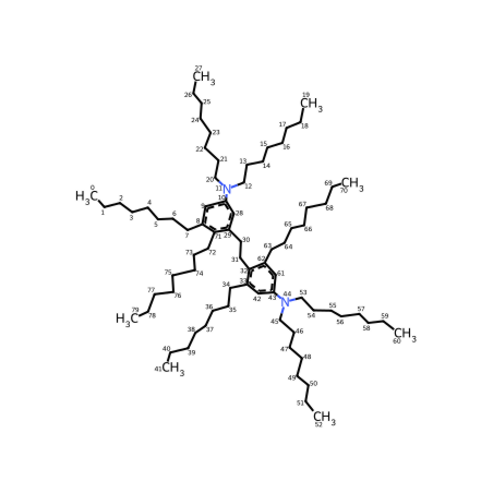 CCCCCCCCc1cc(N(CCCCCCCC)CCCCCCCC)cc(CCc2c(CCCCCCCC)cc(N(CCCCCCCC)CCCCCCCC)cc2CCCCCCCC)c1CCCCCCCC